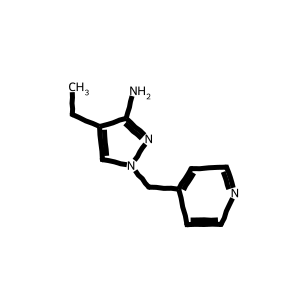 CCc1cn(Cc2ccncc2)nc1N